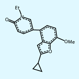 CCn1cc(-c2ccc(OC)c3oc(C4CC4)cc23)ccc1=O